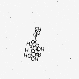 C[C@]12C[C@H](O)[C@H](O)C[C@H]1C(=O)C=C1C2CC[C@]2(C)[C@@H](C(=O)CCCOC(=O)CS)CC[C@@]12O